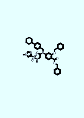 CN(CC(=O)N(Cc1ccc(C2CCCCC2)cc1)c1ccc(C(=O)OCc2ccccc2)c(OCc2ccccc2)c1)S(=O)(=O)c1cn(C)cn1